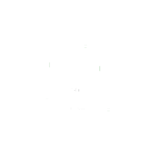 F[CH](F)[Sn]([GeH3])([CH](F)F)[C](F)(F)F